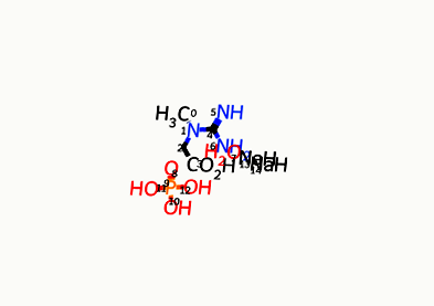 CN(CC(=O)O)C(=N)N.O.O=P(O)(O)O.[NaH].[NaH]